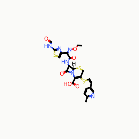 CCO/N=C(\C(=O)NC1C(=O)N2C(C(=O)O)=C(S/C=C\c3ccc(C)nc3)CS[C@H]12)c1csc(NC=O)n1